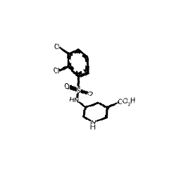 O=C(O)C1CNCC(NS(=O)(=O)c2cccc(Cl)c2Cl)C1